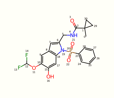 CC1(C(=O)NCc2cc3cc(OC(F)F)c(O)cc3n2S(=O)(=O)c2ccccc2)CC1